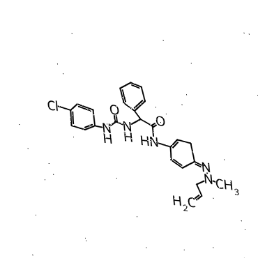 C=CCN(C)N=C1C=CC(NC(=O)C(NC(=O)Nc2ccc(Cl)cc2)c2ccccc2)=CC1